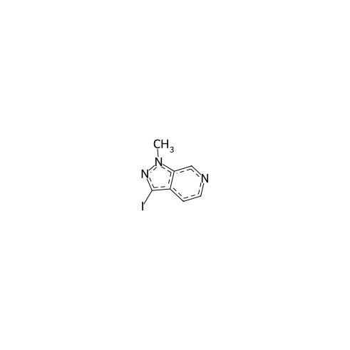 Cn1nc(I)c2ccncc21